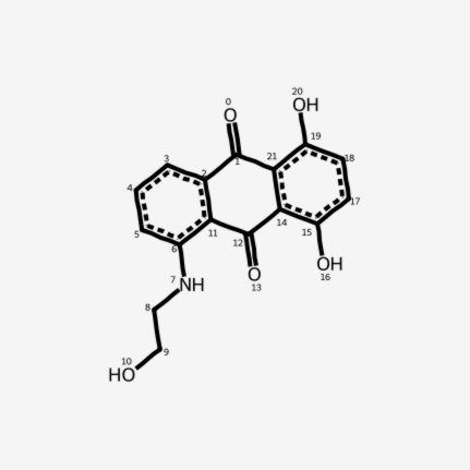 O=C1c2cccc(NCCO)c2C(=O)c2c(O)ccc(O)c21